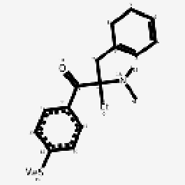 CCC(CC1=CC=CCC1)(C(=O)c1ccc(SC)cc1)N(C)C